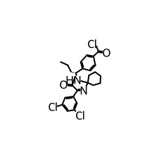 CCC[C@@H](NC1(/N=C(\C(C)=O)c2cc(Cl)cc(Cl)c2)CCCCC1)c1ccc(C(=O)Cl)cc1